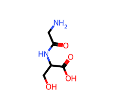 NCC(=O)NC(CO)C(=O)O